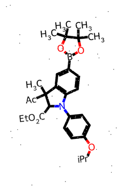 CCOC(=O)C1N(c2ccc(OC(C)C)cc2)c2ccc(B3OC(C)(C)C(C)(C)O3)cc2C1(C)C(C)=O